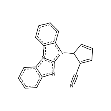 N#CC1=CC=CC1n1c2ccccc2n2c3ccccc3nc12